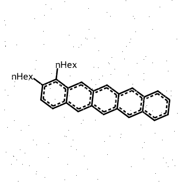 CCCCCCc1ccc2cc3cc4cc5ccccc5cc4cc3cc2c1CCCCCC